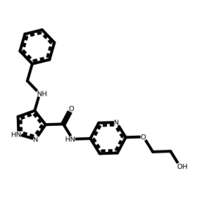 O=C(Nc1ccc(OCCO)nc1)c1n[nH]cc1NCc1ccccc1